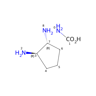 NC(=O)O.N[C@@H]1CCC[C@H]1N